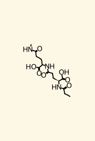 CCC(=O)N[C@@H](CCC(=O)NC(CCC(=O)NC)C(=O)O)C(=O)O